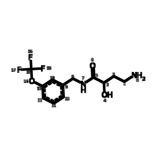 NCCC(O)C(=O)NCc1cccc(OC(F)(F)F)c1